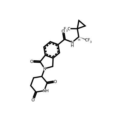 O=C1CCC(N2Cc3cc(C(=O)N[C@@H](C(F)(F)F)C4(C(F)(F)F)CC4)ccc3C2=O)C(=O)N1